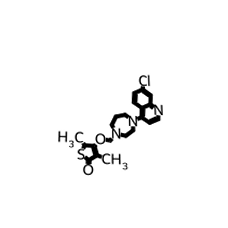 CC1=C(OCN2CCCN(c3ccnc4cc(Cl)ccc34)CC2)C(C)SC1=O